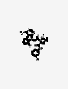 C[C@H]1N(C(=O)Cn2c3ncnc(N)c3c3cccc(F)c32)[C@H](C(=O)Nc2cccc(Br)n2)CC1(C)C